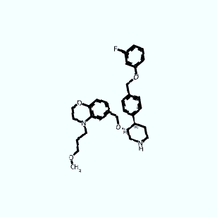 COCCCN1CCOc2ccc(CO[C@H]3CNCC[C@@H]3c3ccc(COc4cccc(F)c4)cc3)cc21